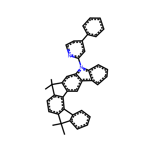 CC1(C)c2ccccc2-c2c1ccc1c2-c2cc3c4ccccc4n(-c4cc(-c5ccccc5)ccn4)c3cc2C1(C)C